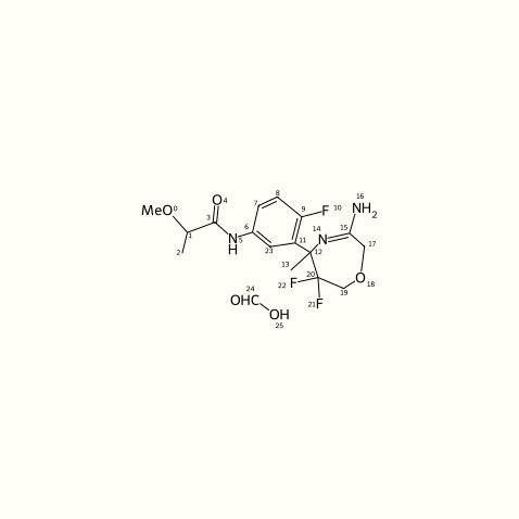 COC(C)C(=O)Nc1ccc(F)c(C2(C)N=C(N)COCC2(F)F)c1.O=CO